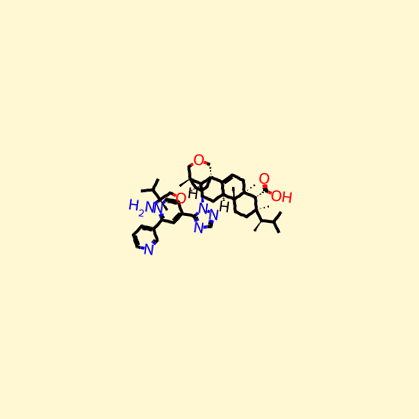 CC(C)[C@@H](C)[C@@]1(C)CC[C@]2(C)[C@H]3CC[C@@H]4[C@@]5(COC[C@@]4(C)[C@@H](OC[C@](C)(N)C(C)C)[C@H](n4ncnc4-c4ccnc(-c6cccnc6)c4)C5)C3=CC[C@@]2(C)[C@@H]1C(=O)O